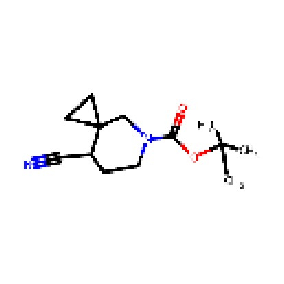 CC(C)(C)OC(=O)N1CCC(C#N)C2(CC2)C1